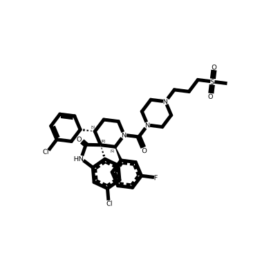 CS(=O)(=O)CCCN1CCN(C(=O)N2CC[C@@H](C3C=CC=C(Cl)C3)[C@]3(C(=O)Nc4cc(Cl)ccc43)[C@@H]2c2cccc(F)c2)CC1